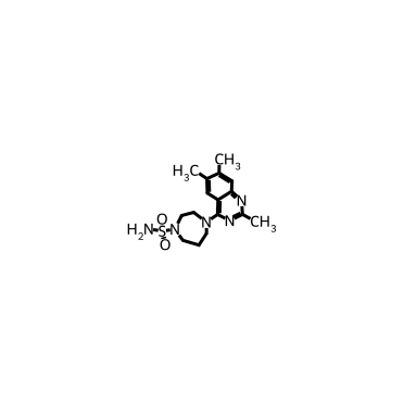 Cc1nc(N2CCCN(S(N)(=O)=O)CC2)c2cc(C)c(C)cc2n1